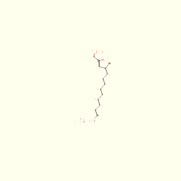 CCCCCCCCCCCCCCCCCCC1COC(CO)C1